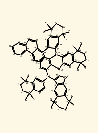 Cc1cc2c3c(c1)N(c1ccc4c(c1)C(C)(C)CCC4(C)C)c1c(oc4cc5c(cc14)C(C)(C)CCC5(C)C)B3c1cc3c(cc1N2c1cc2c(cc1-c1cccc4c1ccc1ccccc14)C(C)(C)CCC2(C)C)C(C)(C)CCC3(C)C